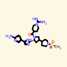 CS(=O)(=O)N1CCC(C2C[C@@H](c3ncc(-c4ccc(N)nc4)[nH]3)N(C(=O)C3CCN(C(=N)N)CC3)C2)CC1